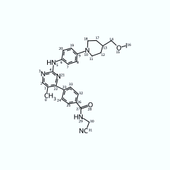 Cc1cnc(Nc2ccc(N3CCC(COI)CC3)cc2)nc1-c1ccc(C(=O)NCC#N)cc1